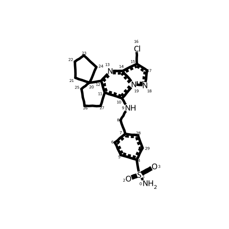 NS(=O)(=O)c1ccc(CNc2c3c(nc4c(Cl)cnn24)C2(CCCC2)CCC3)cc1